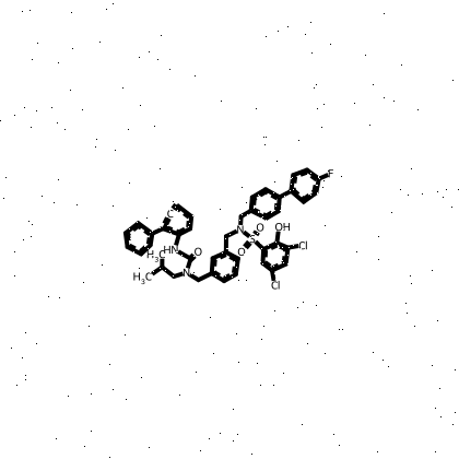 CC(C)CN(Cc1cccc(CN(Cc2ccc(-c3ccc(F)cc3)cc2)S(=O)(=O)c2cc(Cl)cc(Cl)c2O)c1)C(=O)Nc1ccccc1-c1ccccc1